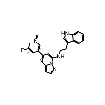 C=N/C=C(\C=C(/C)F)c1cc(NCCc2c[nH]c3ccccc23)n2nccc2n1